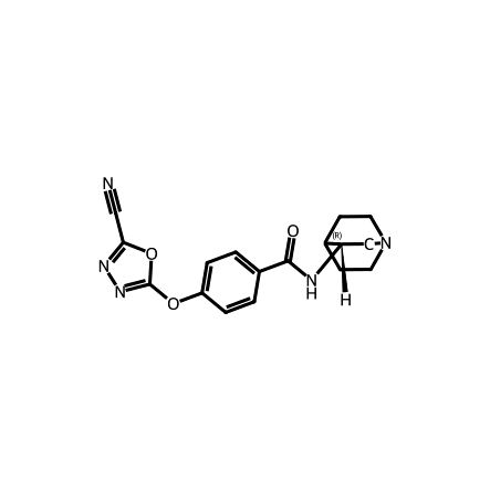 N#Cc1nnc(Oc2ccc(C(=O)N[C@H]3CN4CCC3CC4)cc2)o1